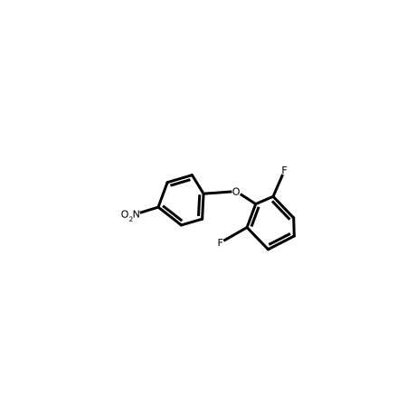 O=[N+]([O-])c1ccc(Oc2c(F)cccc2F)cc1